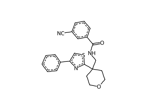 N#Cc1cccc(C(=O)NCC2(c3nc(-c4ccccc4)cs3)CCOCC2)c1